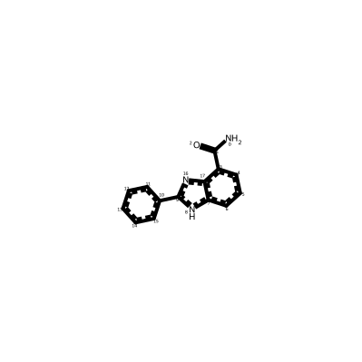 NC(=O)c1cccc2[nH]c(-c3ccccc3)nc12